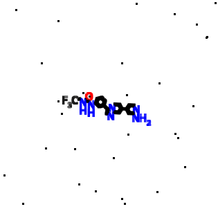 Nc1cc(-c2ccn3c(-c4cccc(NC(=O)NCC(F)(F)F)c4)cnc3c2)ccn1